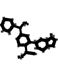 CC(c1ccc(C(N)=O)c(-c2cc3[nH]ccc3cn2)c1)c1ccccn1